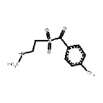 Cc1ccc(C(=O)S(=O)(=O)CCNC(=O)O)cc1